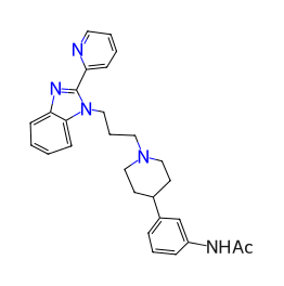 CC(=O)Nc1cccc(C2CCN(CCCn3c(-c4ccccn4)nc4ccccc43)CC2)c1